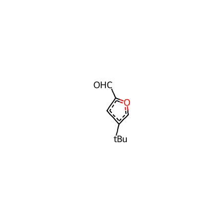 CC(C)(C)c1coc(C=O)c1